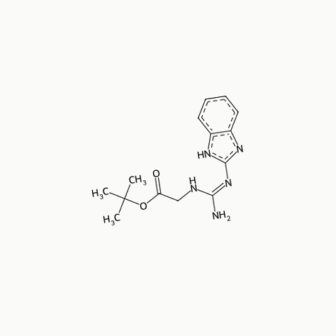 CC(C)(C)OC(=O)CNC(N)=Nc1nc2ccccc2[nH]1